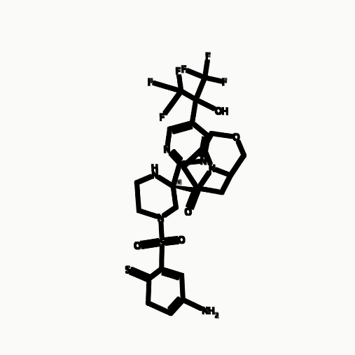 NC1=CCC(=S)C(S(=O)(=O)N2CCN[C@](CN3C4COCC3CC(=O)C4)(c3ncc(C(O)(C(F)(F)F)C(F)(F)F)cn3)C2)=C1